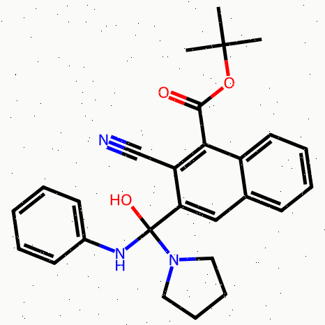 CC(C)(C)OC(=O)c1c(C#N)c(C(O)(Nc2ccccc2)N2CCCC2)cc2ccccc12